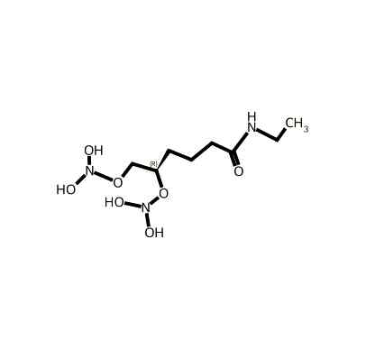 CCNC(=O)CCC[C@H](CON(O)O)ON(O)O